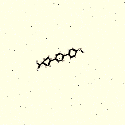 COc1ccc(-c2ccc(-c3ccc(C(C)=O)cc3)cc2)cc1